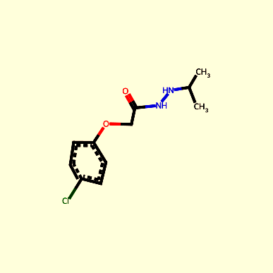 CC(C)NNC(=O)COc1ccc(Cl)cc1